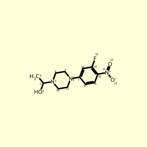 CC(O)N1CCN(c2ccc([N+](=O)[O-])c(F)c2)CC1